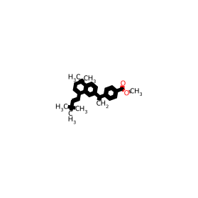 C=C(c1ccc(C(=O)OC)cc1)c1ccc2c(c1)C(/C=C/C(C)(C)C)=CCC2(C)C